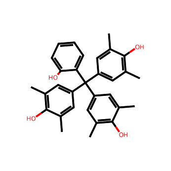 Cc1cc(C(c2cc(C)c(O)c(C)c2)(c2cc(C)c(O)c(C)c2)c2ccccc2O)cc(C)c1O